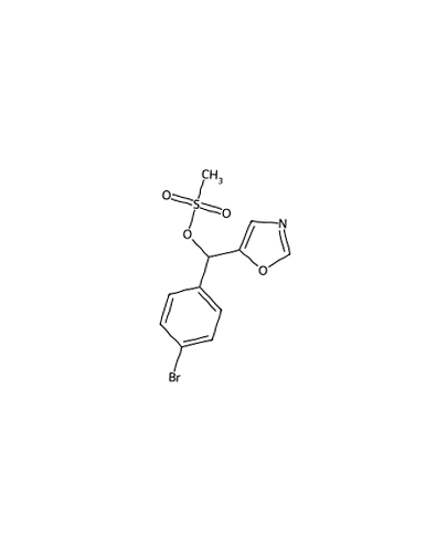 CS(=O)(=O)OC(c1ccc(Br)cc1)c1cnco1